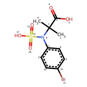 CC(C)(C(=O)O)N(c1ccc(Br)cc1)S(=O)(=O)O